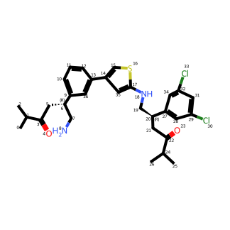 CC(C)C(=O)C[C@@H](CN)c1cccc(-c2csc(NC[C@H](CC(=O)C(C)C)c3cc(Cl)cc(Cl)c3)c2)c1